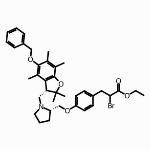 CCOC(=O)C(Br)Cc1ccc(OC[C@@H]2CCCN2C[C@@H]2c3c(C)c(OCc4ccccc4)c(C)c(C)c3OC2(C)C)cc1